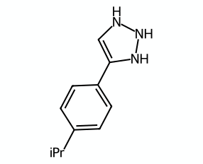 CC(C)c1ccc(C2=CNNN2)cc1